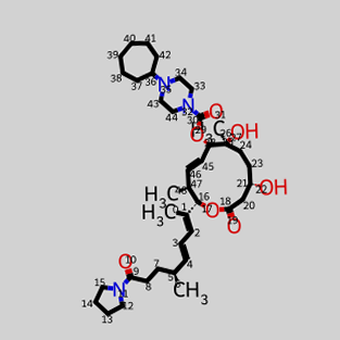 C/C(=C\C=C\[C@@H](C)CCC(=O)N1CCCC1)[C@H]1OC(=O)C[C@@H](O)CC[C@](C)(O)[C@H](OC(=O)N2CCN(C3CCCCCC3)CC2)/C=C/[C@@H]1C